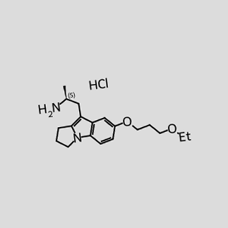 CCOCCCOc1ccc2c(c1)c(C[C@H](C)N)c1n2CCC1.Cl